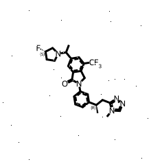 CC(c1cc2c(c(C(F)(F)F)c1)CN(c1cccc([C@H](C)Cc3nncn3C)c1)C2=O)N1CC[C@H](F)C1